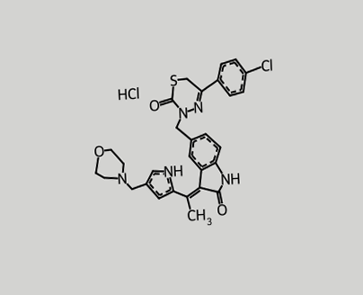 CC(=C1C(=O)Nc2ccc(CN3N=C(c4ccc(Cl)cc4)CSC3=O)cc21)c1cc(CN2CCOCC2)c[nH]1.Cl